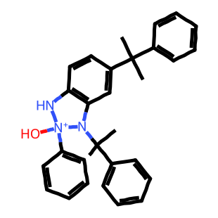 CC(C)(c1ccccc1)c1ccc2c(c1)N(C(C)(C)c1ccccc1)[N+](O)(c1ccccc1)N2